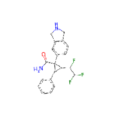 NC(=O)C1(c2ccc3c(c2)CNC3)C(c2ccccc2)C1C(F)C(F)F